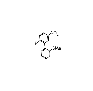 CSc1ccccc1-c1cc([N+](=O)[O-])ccc1F